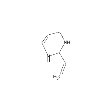 C=CC1NC=CCN1